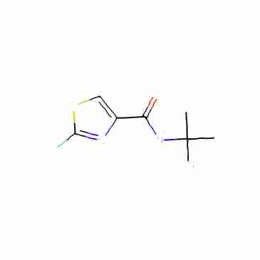 CCC(C)(C)NC(=O)c1csc(F)n1